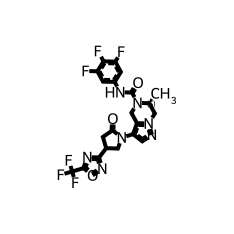 C[C@H]1Cn2ncc(N3CC(c4noc(C(F)(F)F)n4)CC3=O)c2CN1C(=O)Nc1cc(F)c(F)c(F)c1